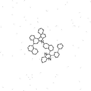 c1ccc(-c2cccc(-c3nc4ccccc4nc3-c3cccc4cc(-n5c6ccc7ccccc7c6c6c7ccccc7c(-c7cccc8ccccc78)cc65)ccc34)c2)cc1